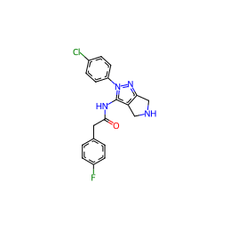 O=C(Cc1ccc(F)cc1)Nc1c2c(nn1-c1ccc(Cl)cc1)CNC2